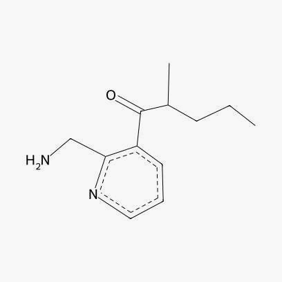 CCCC(C)C(=O)c1cccnc1CN